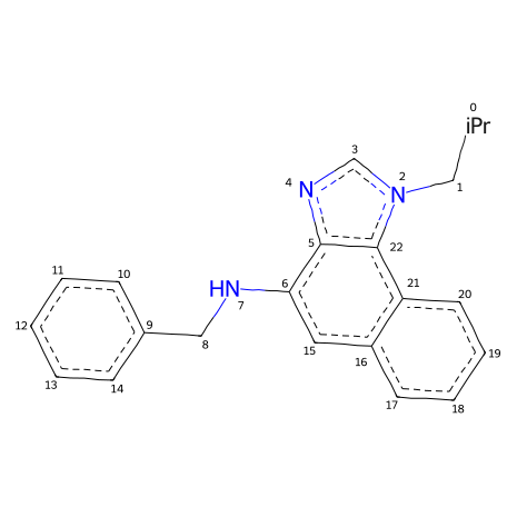 CC(C)Cn1cnc2c(NCc3ccccc3)cc3ccccc3c21